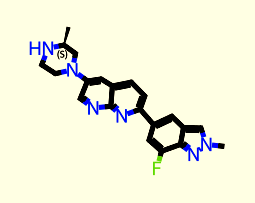 C[C@H]1CN(c2cnc3nc(-c4cc(F)c5nn(C)cc5c4)ccc3c2)CCN1